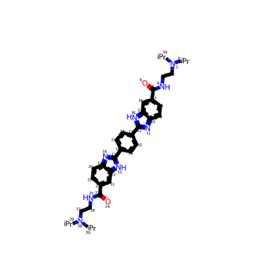 CC(C)N(CCNC(=O)c1ccc2nc(-c3ccc(-c4nc5ccc(C(=O)NCCN(C(C)C)C(C)C)cc5[nH]4)cc3)[nH]c2c1)C(C)C